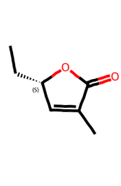 CC[C@H]1C=C(C)C(=O)O1